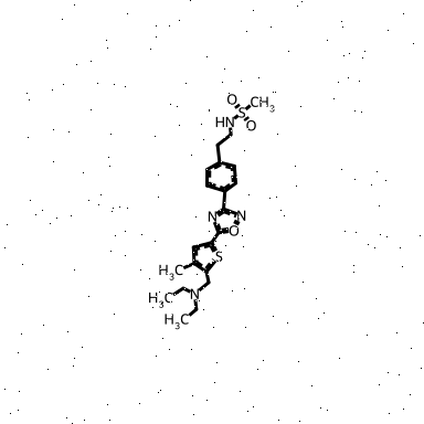 CCN(CC)Cc1sc(-c2nc(-c3ccc(CCNS(C)(=O)=O)cc3)no2)cc1C